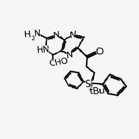 CC(C)(C)[Si](CCC(=O)c1cnc2c(n1)C(C=O)NC(N)=N2)(c1ccccc1)c1ccccc1